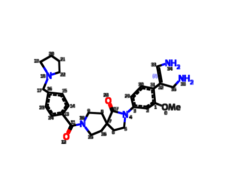 COc1cc(N2CCC3(CCN(C(=O)c4ccc(CN5CCCC5)cc4)CC3)C2=O)ccc1/C(=C/N)CN